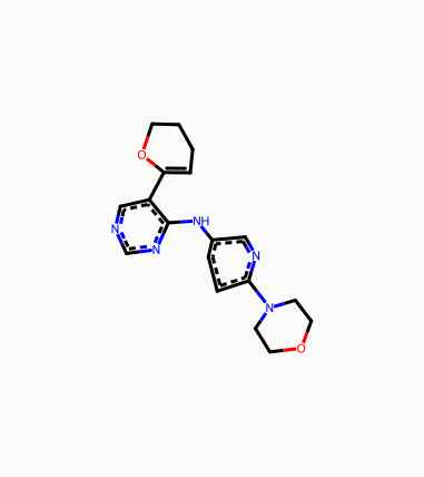 C1=C(c2cncnc2Nc2ccc(N3CCOCC3)nc2)OCCC1